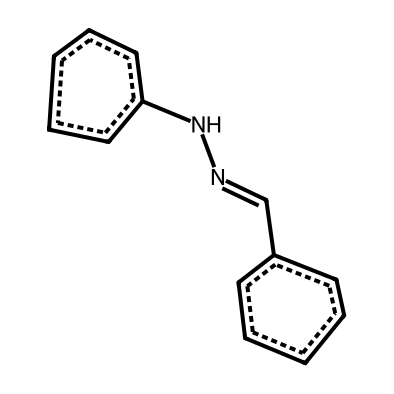 C(=N\Nc1ccccc1)/c1ccccc1